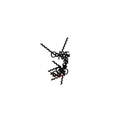 C=Cc1c(SC(C)(C)C)c2sc(-c3ccc(-c4ccc(C5=C6C(=O)N(CC(CCCCCC)CCCCCCCC)C(c7ccc(-c8ccc(C(C)(C)C)s8)s7)=C6C(=O)N5CC(CCCCCC)CCCCCCCC)s4)s3)cc2c2nc(-c3ccc(OCCCCCCCCCCCC)cc3)n(CCCCCCCCCCCC)c12